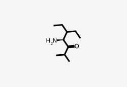 CCC(CC)[C@H](N)C(=O)C(C)C